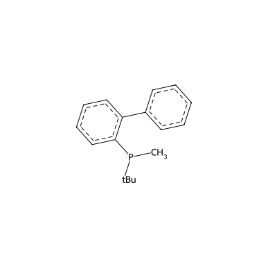 CP(c1ccccc1-c1ccccc1)C(C)(C)C